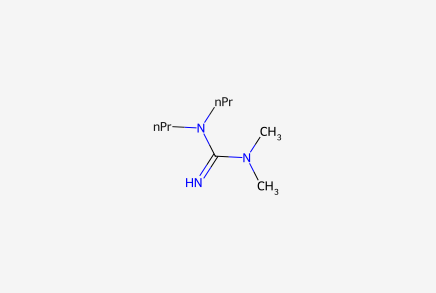 CCCN(CCC)C(=N)N(C)C